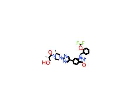 C[C@@H]1CN(c2ncc(-c3ccc4c(=O)n(C)n(Cc5ccccc5OC(F)F)c4c3)cn2)CCN1C(=O)[C@@H](C)CO